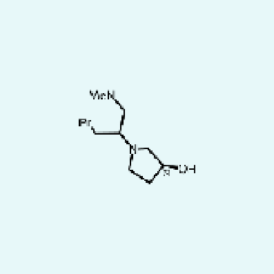 CNCC(CC(C)C)N1CC[C@H](O)C1